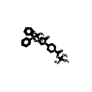 CC(C)(C)OC(=O)N1CCC(N2C[C@@H](O[Si](c3ccccc3)(c3ccccc3)C(C)(C)C)CC2=O)CC1